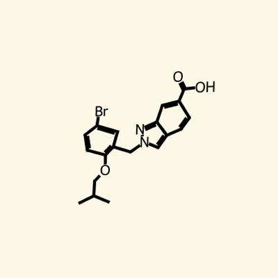 CC(C)COc1ccc(Br)cc1Cn1cc2ccc(C(=O)O)cc2n1